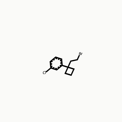 Clc1cccc(C2(CCBr)CCC2)c1